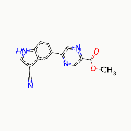 COC(=O)c1cnc(-c2ccc3[nH]cc(C#N)c3c2)cn1